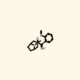 C=Nc1ccccc1C(=N)C(=O)N1C2CCC1CN(C)C2